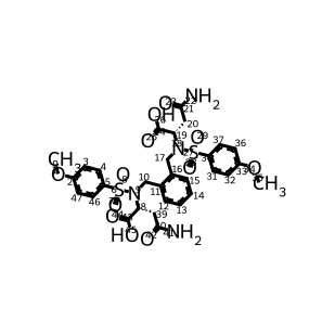 COc1ccc(S(=O)(=O)N(Cc2ccccc2CN([C@@H](CC(N)=O)C(=O)O)S(=O)(=O)c2ccc(OC)cc2)[C@H](CC(N)=O)C(=O)O)cc1